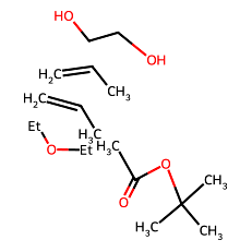 C=CC.C=CC.CC(=O)OC(C)(C)C.CCOCC.OCCO